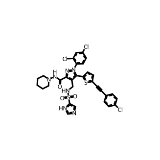 O=C(NN1CCCCC1)c1nn(-c2ccc(Cl)cc2Cl)c(-c2ccc(C#Cc3ccc(Cl)cc3)s2)c1CNS(=O)(=O)c1cnc[nH]1